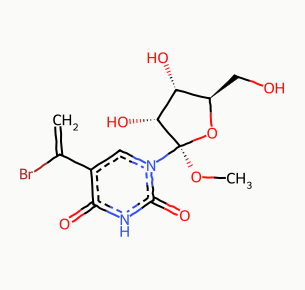 C=C(Br)c1cn([C@]2(OC)O[C@H](CO)[C@@H](O)[C@H]2O)c(=O)[nH]c1=O